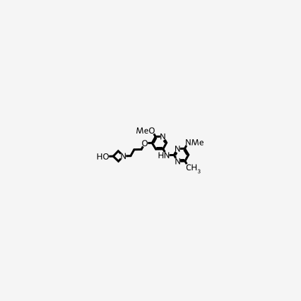 CNc1cc(C)nc(Nc2cnc(OC)c(OCCCN3CC(O)C3)c2)n1